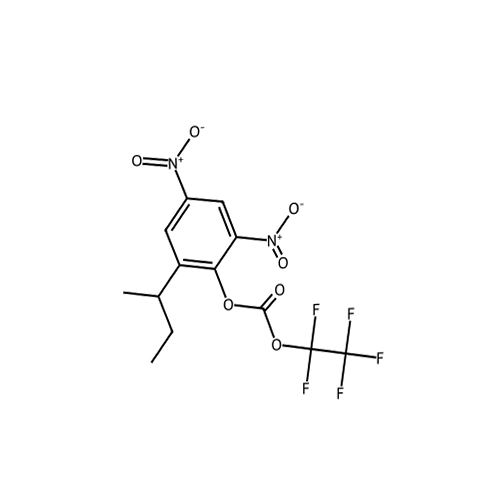 CCC(C)c1cc([N+](=O)[O-])cc([N+](=O)[O-])c1OC(=O)OC(F)(F)C(F)(F)F